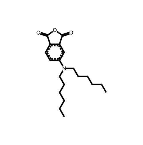 CCCCCCN(CCCCCC)c1ccc2c(c1)C(=O)OC2=O